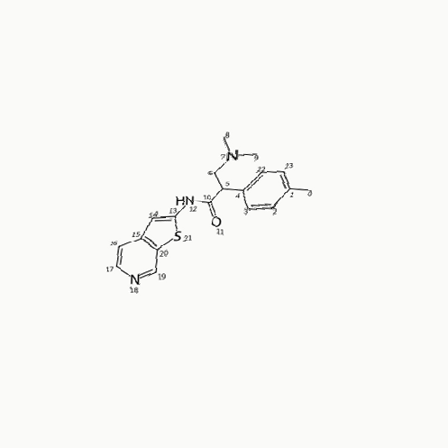 Cc1ccc(C(CN(C)C)C(=O)Nc2cc3ccncc3s2)cc1